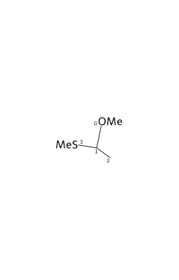 [CH2]OC(C)SC